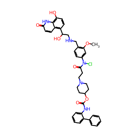 COc1cc(N(Cl)C(=O)CCN2CCC(OC(=O)Nc3ccccc3-c3ccccc3)CC2)ccc1CNCC(O)c1ccc(O)c2[nH]c(=O)ccc12